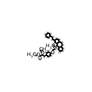 CCOC(=O)C(Cc1ccc(OCCN(C)C2c3ccccc3CCc3ccc(CCc4ccccc4)cc32)cc1)OCC